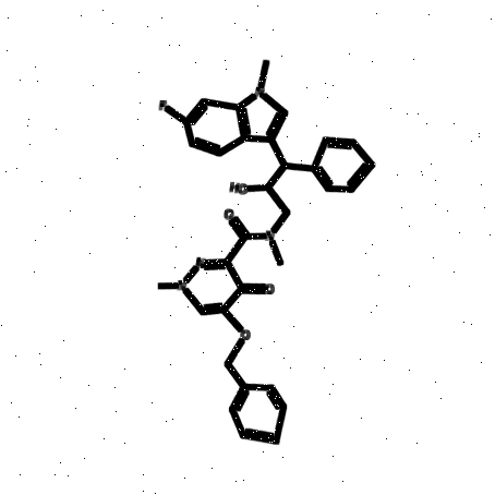 CN(CC(O)C(c1ccccc1)c1cn(C)c2cc(F)ccc12)C(=O)c1nn(C)cc(OCc2ccccc2)c1=O